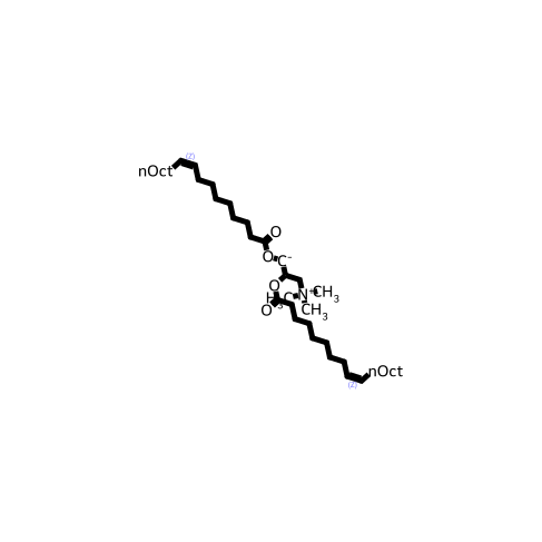 CCCCCCCC/C=C\CCCCCCCC(=O)O[CH-]C(C[N+](C)(C)C)OC(=O)CCCCCCC/C=C\CCCCCCCC